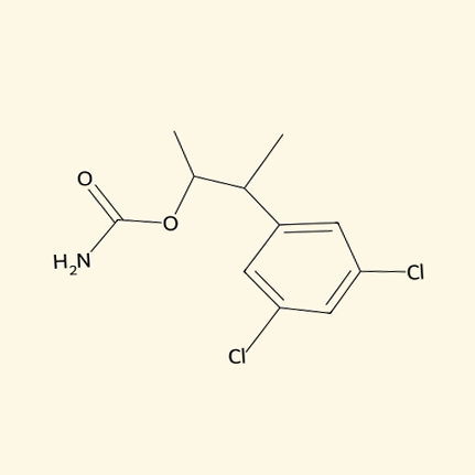 CC(OC(N)=O)C(C)c1cc(Cl)cc(Cl)c1